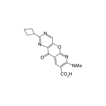 CNc1nc2oc3cnc(C4CCC4)nc3c(=O)c2cc1C(=O)O